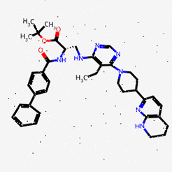 CCc1c(NC[C@H](NC(=O)c2ccc(-c3ccccc3)cc2)C(=O)OC(C)(C)C)ncnc1N1CCC(c2ccc3c(n2)NCCC3)CC1